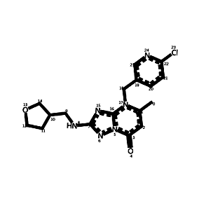 Cc1cc(=O)n2nc(NCC3CCOC3)nc2n1Cc1ccc(Cl)nc1